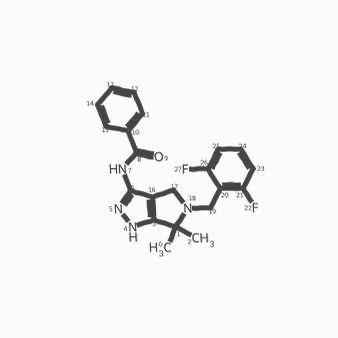 CC1(C)c2[nH]nc(NC(=O)c3ccccc3)c2CN1Cc1c(F)cccc1F